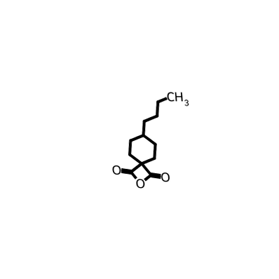 CCCCC1CCC2(CC1)C(=O)OC2=O